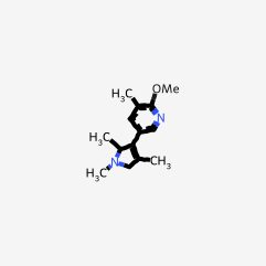 COc1ncc(C2=C(C)CN(C)C2C)cc1C